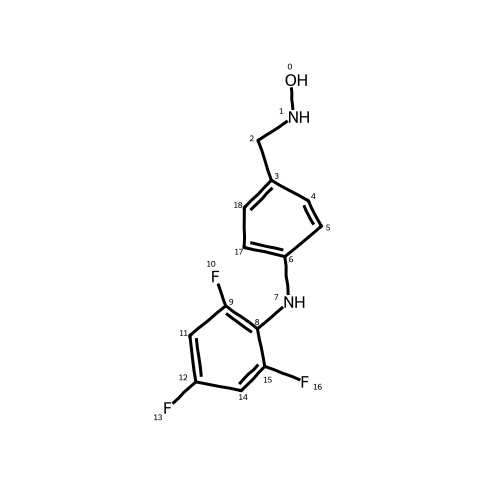 ONCc1ccc(Nc2c(F)cc(F)cc2F)cc1